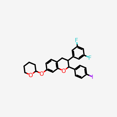 Fc1cc(F)cc(C2Cc3ccc(OC4CCCCO4)cc3OC2c2ccc(I)cc2)c1